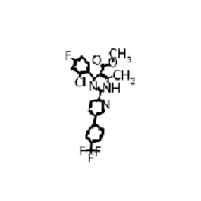 COC(=O)C1=C(C)NC(c2ccc(-c3ccc(C(F)(F)F)cc3)cn2)=NC1c1ccc(F)cc1Cl